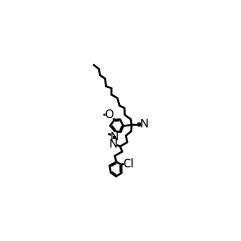 CCCCCCCCCCCCC(C#N)(CCCC(CCc1ccccc1Cl)N=NC)c1cccc(OC)c1